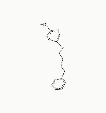 [CH2]c1ccc(OCCCCc2ccccc2)cc1